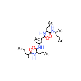 CC(=O)CCC(C)C(=O)NC(CCC(C)=O)C(=O)NC(CCC(=O)NC(CCC(C)=O)C(=O)NC(CCC(C)=O)C(C)=O)CC(C)=O